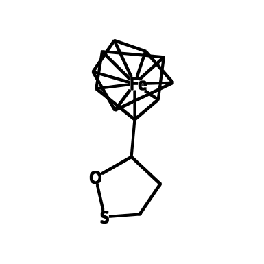 C1CC([C]23[CH]4[CH]5[CH]6[CH]2[Fe]56432789[CH]3[CH]2[CH]7[CH]8[CH]39)OS1